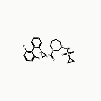 O=C([C@@H]1C[C@H]1c1ccccc1-c1c(F)cccc1F)N1CCCC[C@@H](NS(=O)(=O)C2CC2)C1